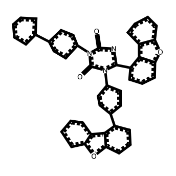 O=c1nc(-c2cccc3oc4ccccc4c23)n(-c2ccc(-c3cccc4oc5ccccc5c34)cc2)c(=O)n1-c1ccc(-c2ccccc2)cc1